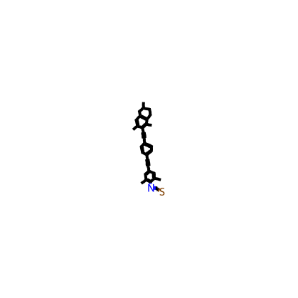 Cc1cc2c(c(C)c1C#Cc1ccc(C#Cc3cc(C)c(N=C=S)c(C)c3)cc1)CCC(C)C2